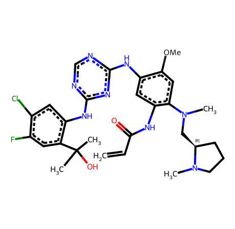 C=CC(=O)Nc1cc(Nc2ncnc(Nc3cc(Cl)c(F)cc3C(C)(C)O)n2)c(OC)cc1N(C)C[C@H]1CCCN1C